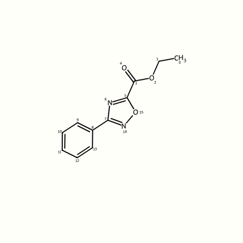 CCOC(=O)c1nc(-c2ccccc2)no1